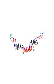 CC[C@@]1(c2cccc(N(OC(=O)C(=O)ON(c3cccc([C@]4(CC)[C@@H]5CN(CCCC6(OC)CCC(F)(F)CC6)C[C@@H]54)c3)S(=O)(=O)C3CC3)S(=O)(=O)C3CC3)c2)[C@@H]2CN(CCCC3(OC)CCC(F)(F)CC3)C[C@@H]21